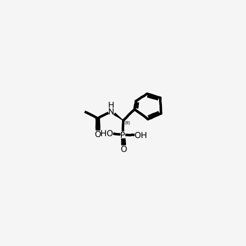 CC(=O)N[C@@H](c1ccccc1)P(=O)(O)O